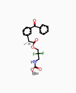 C[C@@H](C(=O)OCC(F)(F)CNC(=O)OC(C)(C)C)c1cccc(C(=O)c2ccccc2)c1